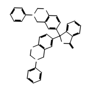 O=C1OC(c2ccc3c(c2)CN(c2ccccc2)CO3)(c2ccc3c(c2)CN(c2ccccc2)CO3)c2ccccc21